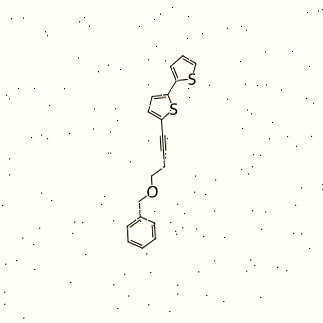 C(#Cc1ccc(-c2cccs2)s1)CCOCc1ccccc1